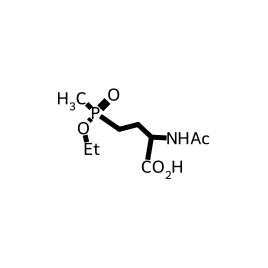 CCOP(C)(=O)CCC(NC(C)=O)C(=O)O